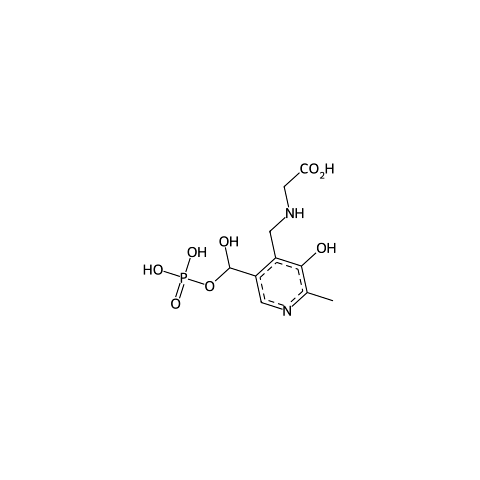 Cc1ncc(C(O)OP(=O)(O)O)c(CNCC(=O)O)c1O